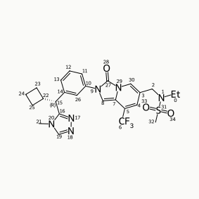 CCN(Cc1cc(C(F)(F)F)c2cn(-c3cccc([C@H](c4nncn4C)C4CCC4)c3)c(=O)n2c1)S(C)(=O)=O